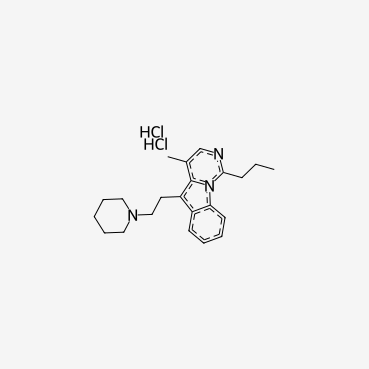 CCCc1ncc(C)c2c(CCN3CCCCC3)c3ccccc3n12.Cl.Cl